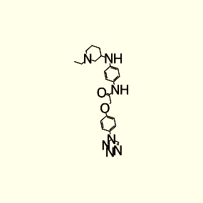 CCN1CCCC(Nc2ccc(NC(=O)COc3ccc(-n4cnnn4)cc3)cc2)C1